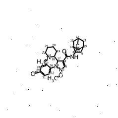 CON1C=C(C(=O)NC23CC4CC(CC2C4)C3)C(C2CCCCN2C)N1c1ccc(Cl)cc1